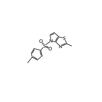 Cc1ccc(S(=O)(=O)n2ccc3sc(C)nc32)cc1